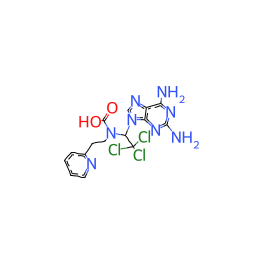 Nc1nc(N)c2ncn(C(N(CCc3ccccn3)C(=O)O)C(Cl)(Cl)Cl)c2n1